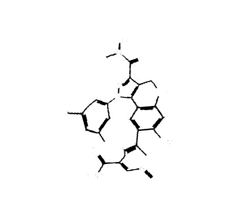 C=N/C=C(\C=C(/C)c1cc2c(cc1OC)OCc1c(C(=O)N(C)C(C)(C)C)nn(-c3cc(C)cc(F)c3)c1-2)C(N)=O